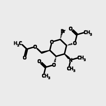 CC(=O)OC[C@H]1O[C@H](Br)[C@H](OC(C)=O)[C@@H](N(C)C)[C@@H]1OC(C)=O